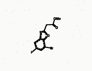 COC(=O)Cc1nc2cc(F)cc(Br)c2o1